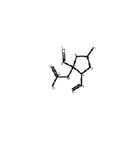 C=CC1CC(C)CC1(C=O)CC(=C)C